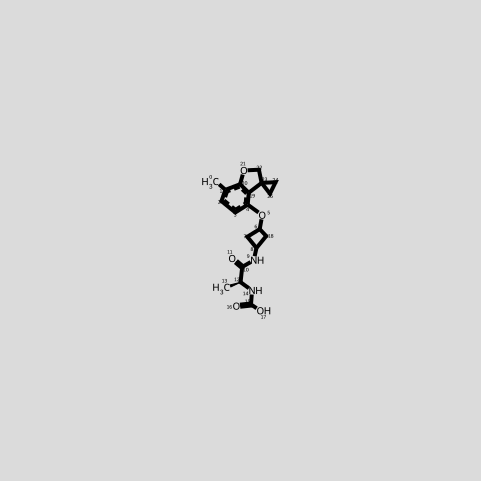 Cc1ccc(OC2CC(NC(=O)[C@H](C)NC(=O)O)C2)c2c1OCC21CC1